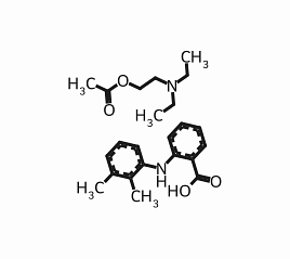 CCN(CC)CCOC(C)=O.Cc1cccc(Nc2ccccc2C(=O)O)c1C